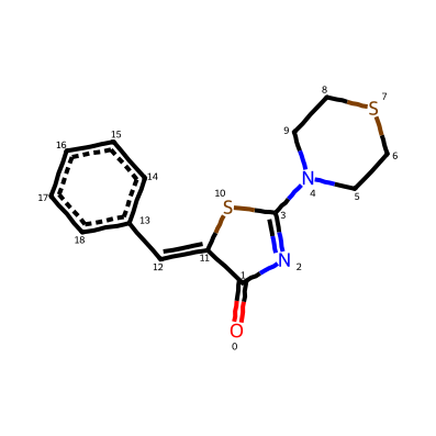 O=C1N=C(N2CCSCC2)S/C1=C\c1ccccc1